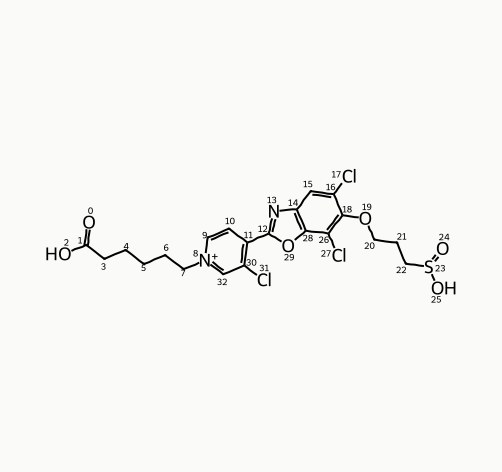 O=C(O)CCCCC[n+]1ccc(-c2nc3cc(Cl)c(OCCCS(=O)O)c(Cl)c3o2)c(Cl)c1